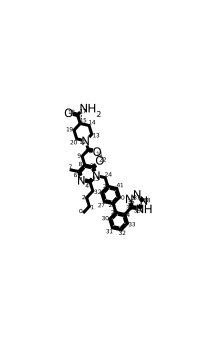 CCCCc1nc(C)c(CC(=O)N2CCC(C(N)=O)CC2)c(=O)n1Cc1ccc(-c2ccccc2-c2nnn[nH]2)cc1